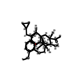 COc1ccc2c3c1OC[C@H]1[C@]4(OC)CC(C)=C[C@@]5(C[C@@H]4C(C)=O)[C@@H](C2)N(CC2CC2)CC[C@]315